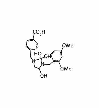 COc1ccc(CN2C(O)CN(Cc3ccc(C(=O)O)cc3)S2(O)O)c(OC)c1